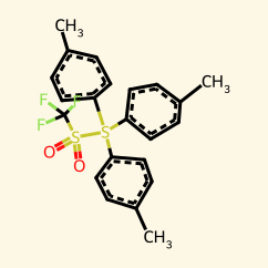 Cc1ccc(S(c2ccc(C)cc2)(c2ccc(C)cc2)S(=O)(=O)C(F)(F)F)cc1